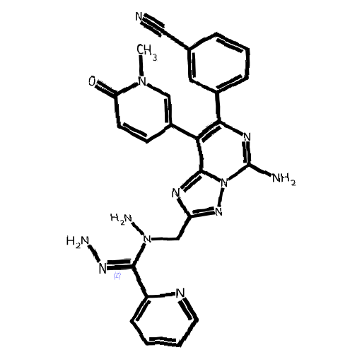 Cn1cc(-c2c(-c3cccc(C#N)c3)nc(N)n3nc(CN(N)/C(=N\N)c4ccccn4)nc23)ccc1=O